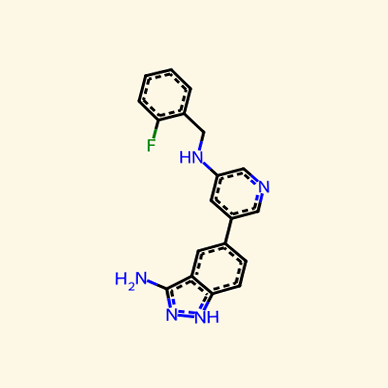 Nc1n[nH]c2ccc(-c3cncc(NCc4ccccc4F)c3)cc12